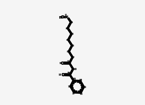 CCCCCCCCCCCCCCCCCC(=O)[CH]C(=O)c1ccccc1